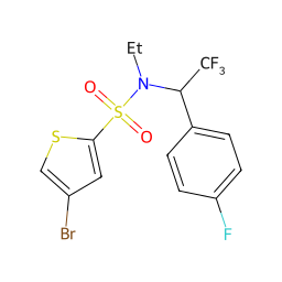 CCN(C(c1ccc(F)cc1)C(F)(F)F)S(=O)(=O)c1cc(Br)cs1